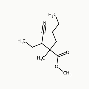 CCCCC(C)(C(=O)OC)C(C#N)CC